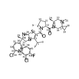 CC(C)C1=C(C(=O)N2[C@H](C)CC[C@H]2C(=O)N2CC3(CC3)N(C)C[C@@H]2C)SC2=N[C@@](C)(c3ccc(Cl)nc3)[C@@H](c3ccc(Cl)c(F)c3)N21